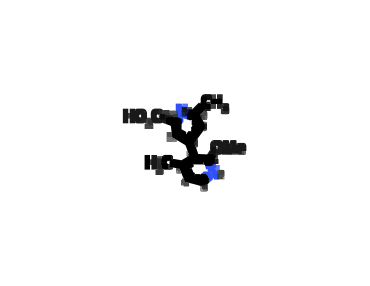 COc1nccc(C)c1-c1cc(C)nc(C(=O)O)c1